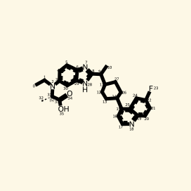 CCN(c1ccc2nc(C(C)C3CCC(c4ccnc5ccc(F)cc45)CC3)[nH]c2c1)[C@@H](C)C(=O)O